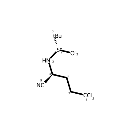 CC(C)(C)[S@+]([O-])N[C@H](C#N)CCC(Cl)(Cl)Cl